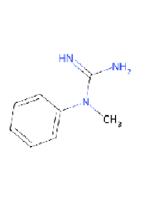 CN(C(=N)N)c1ccccc1